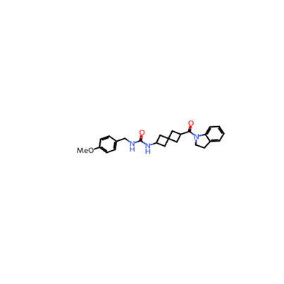 COc1ccc(CNC(=O)NC2CC3(C2)CC(C(=O)N2CCc4ccccc42)C3)cc1